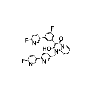 O=c1c(-c2cc(F)cc(-c3ccc(F)nc3)c2)c(O)[n+](Cc2ccc(-c3ccc(F)nc3)nc2)c2ccccn12